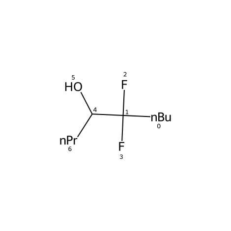 CCCCC(F)(F)C(O)CCC